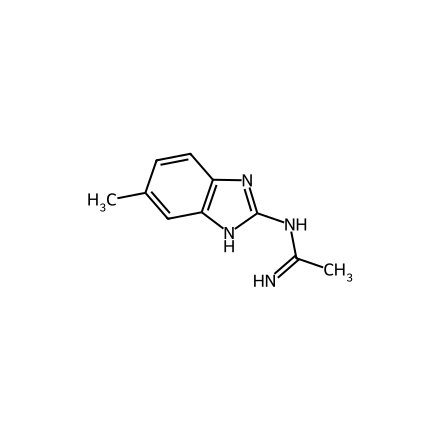 CC(=N)Nc1nc2ccc(C)cc2[nH]1